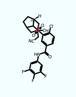 CC1(CC#N)CC2CC[C@H](C1)C2S(=O)(=O)c1cc(C(=O)Nc2cc(F)c(F)c(F)c2)ccc1Cl